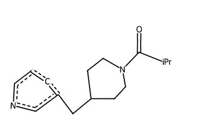 CC(C)C(=O)N1CCC(Cc2cccnc2)CC1